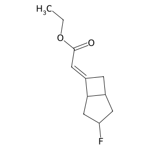 CCOC(=O)C=C1CC2CC(F)CC12